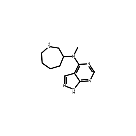 CN(c1ncnc2[nH]ncc12)C1CCCCNC1